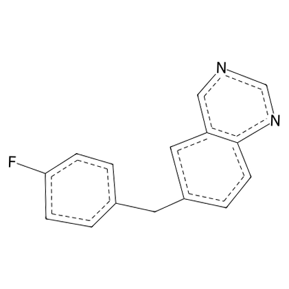 Fc1ccc(Cc2ccc3ncncc3c2)cc1